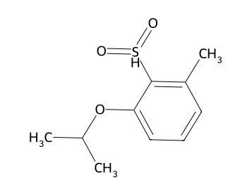 Cc1cccc(OC(C)C)c1[SH](=O)=O